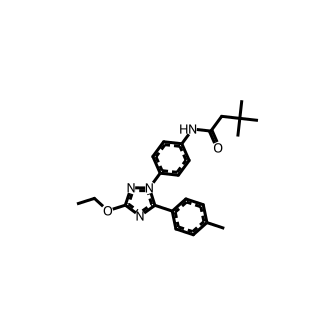 CCOc1nc(-c2ccc(C)cc2)n(-c2ccc(NC(=O)CC(C)(C)C)cc2)n1